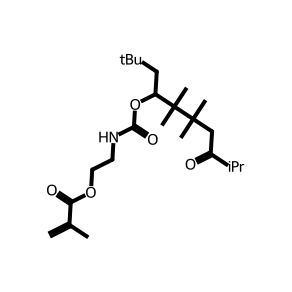 C=C(C)C(=O)OCCNC(=O)OC(CC(C)(C)C)C(C)(C)C(C)(C)CC(=O)C(C)C